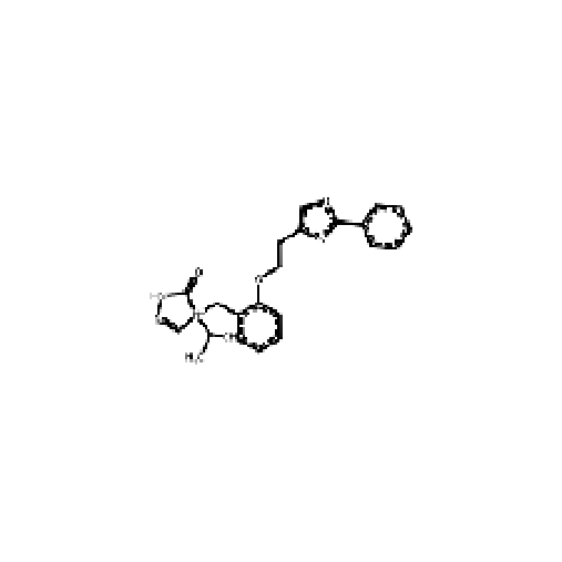 CC(C)[N+]1(Cc2ccccc2OCCc2coc(-c3ccccc3)n2)C=NNC1=O